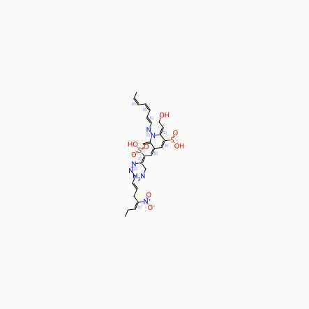 C=C(C)C(=C\C(=C(CN)\N=N/CC=CC/C(=C\CC)[N+](=O)[O-])S(=O)(=O)O)/C=C(C(=C\CO)\N=N/C=C/C=C\C=C/C)/S(=O)O